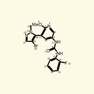 COc1ncc(NC(=O)Nc2ccccc2F)cc1-c1c(Br)cnn1C